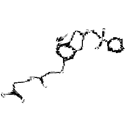 O=C([O-])CCNC(=O)COc1ccc2c(c1)CC(NS(=O)(=O)c1ccccc1)C2.[Na+]